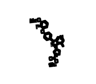 COc1cccc(Oc2ccc(-c3nn(C4CCN(C(=O)OC(C)(C)C)C4)c4c(C)cncc34)cc2)c1F